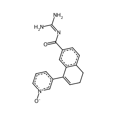 NC(N)=NC(=O)c1ccc2c(c1)C(c1ccc[n+]([O-])c1)=CCC2